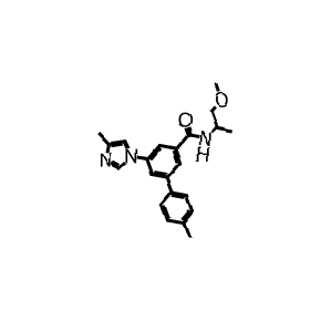 COCC(C)NC(=O)c1cc(-c2ccc(C)cc2)cc(-n2cnc(C)c2)c1